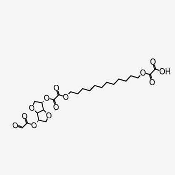 O=CC(=O)O[C@H]1COC2C1OC[C@@H]2OC(=O)C(=O)OCCCCCCCCCCCCOC(=O)C(=O)O